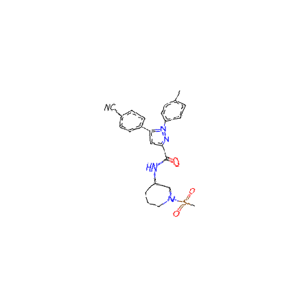 Cc1ccc(-n2nc(C(=O)NC3CCCN(S(C)(=O)=O)C3)cc2-c2ccc(C#N)cc2)cc1